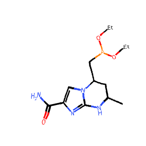 CCOP(CC1CC(C)Nc2nc(C(N)=O)cn21)OCC